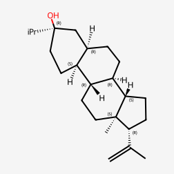 C=C(C)[C@H]1CC[C@H]2[C@@H]3CC[C@@H]4C[C@@](O)(C(C)C)CC[C@@H]4[C@H]3CC[C@]12C